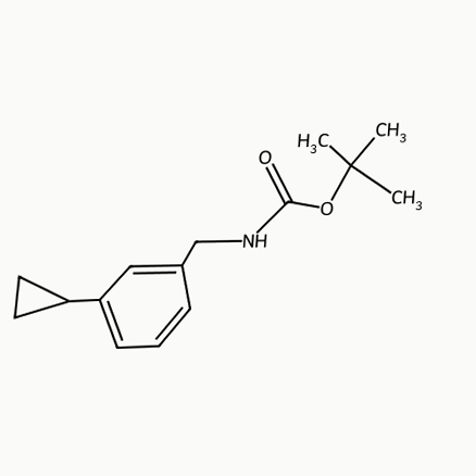 CC(C)(C)OC(=O)NCc1cccc(C2CC2)c1